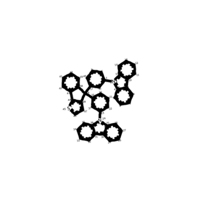 c1cc(-n2c3ccccc3c3ccccc32)cc(C2(c3cccc(-n4c5ccccc5c5ccccc54)c3)c3ccccc3-c3sccc32)c1